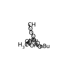 C#CCOCCOCCOCCOCCC(=O)N(CCOCCCC)CCOCCN(C)C(=O)OC(C)(C)C